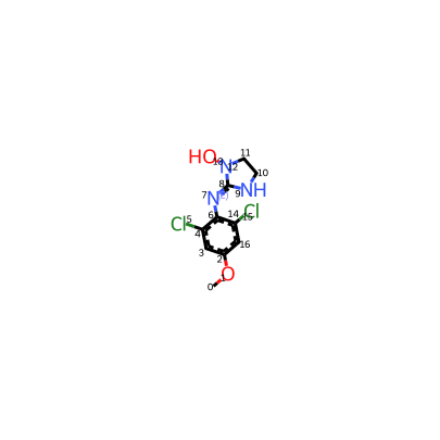 COc1cc(Cl)c(/N=C2\NCCN2O)c(Cl)c1